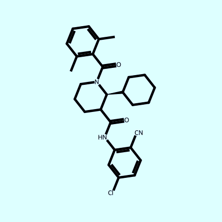 Cc1cccc(C)c1C(=O)N1CCCC(C(=O)Nc2cc(Cl)ccc2C#N)[C@@H]1C1CCCCC1